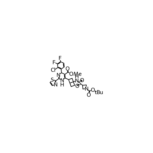 COC(=O)C1=C(C2CC3(NS(=O)(=O)C4CN(C(=O)OC(C)(C)C)C4)CCC23)NC(c2nccs2)=NC1c1ccc(F)c(F)c1Cl